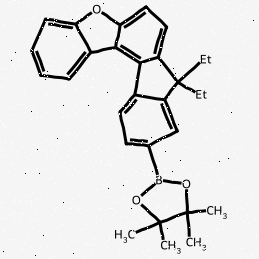 CCC1(CC)c2cc(B3OC(C)(C)C(C)(C)O3)ccc2-c2c1ccc1oc3ccccc3c21